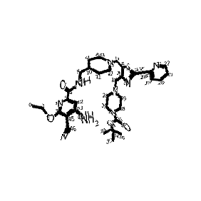 CCOc1nc(C(=O)NCC2CCN(Cc3sc(-c4ccccn4)nc3CN3CCN(C(=O)OC(C)(C)C)CC3)CC2)cc(N)c1C#N